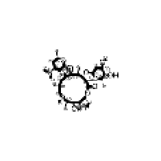 CC[C@H]1OC(=O)[C@H](C)[C@@H](O[C@H]2C[C@@](C)(OC)[C@@H](O)[C@H](C)O2)[C@H](C)[C@@H](O[C@@H]2O[C@H](C)C[C@H](N(C)C)[C@H]2C)[C@](C)(O)C[C@@H](C)CN(C)[C@H](C)[C@@H](O)[C@]1(C)O